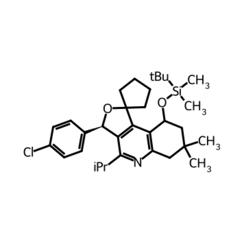 CC(C)c1nc2c(c3c1[C@@H](c1ccc(Cl)cc1)OC31CCCC1)C(O[Si](C)(C)C(C)(C)C)CC(C)(C)C2